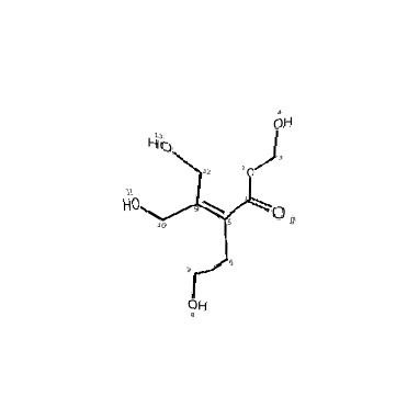 O=C(OCO)C(CCO)=C(CO)CO